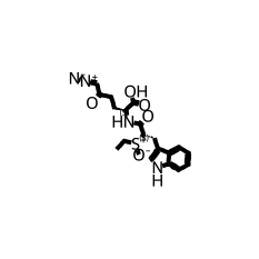 CC[S+]([O-])[C@@H](Cc1c[nH]c2ccccc12)C(=O)N[C@@H](CCC(=O)C=[N+]=[N-])C(=O)O